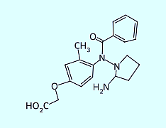 Cc1cc(OCC(=O)O)ccc1N(C(=O)c1ccccc1)N1CCCC1N